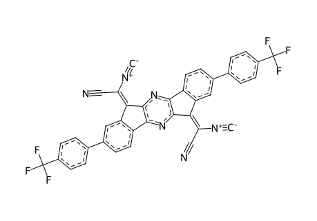 [C-]#[N+]/C(C#N)=C1/c2cc(-c3ccc(C(F)(F)F)cc3)ccc2-c2nc3c(nc21)-c1ccc(-c2ccc(C(F)(F)F)cc2)cc1/C3=C(/C#N)[N+]#[C-]